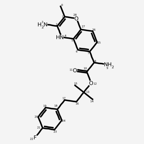 CC1=C(N)Nc2cc(C(N)C(=O)OC(C)(C)CCc3ccc(F)cc3)ccc2O1